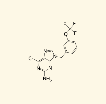 Nc1nc(Cl)c2ncn(Cc3cccc(OC(F)(F)F)c3)c2n1